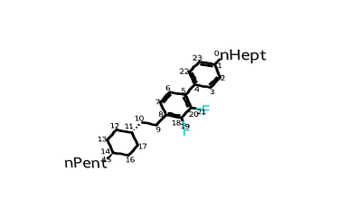 CCCCCCCc1ccc(-c2ccc(CC[C@H]3CC[C@H](CCCCC)CC3)c(F)c2F)cc1